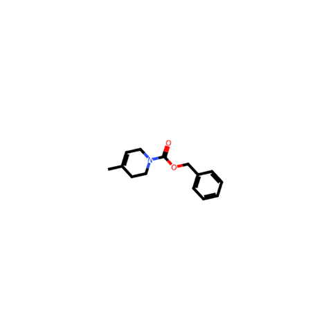 CC1=CCN(C(=O)OCc2ccccc2)CC1